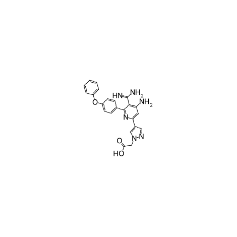 N=C(N)c1c(N)cc(-c2cnn(CC(=O)O)c2)nc1-c1ccc(Oc2ccccc2)cc1